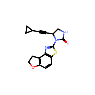 O=C1NCC(C#CC2CC2)N1c1nc2c3c(ccc2s1)OCC3